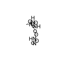 C=CCn1c(=O)[nH]c(=O)c2[nH]c(-c3ccc(OCCNC(=O)c4ccccn4)cc3)cc21